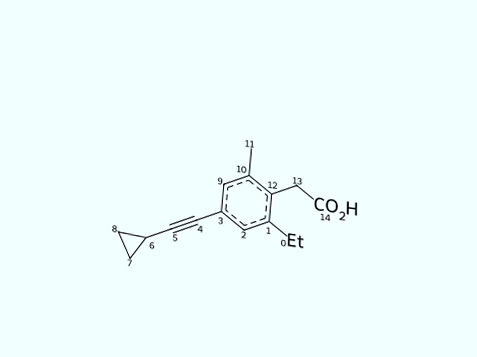 CCc1cc(C#CC2CC2)cc(C)c1CC(=O)O